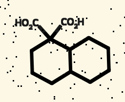 O=C(O)C1(C(=O)O)CCCC2CCCCC21